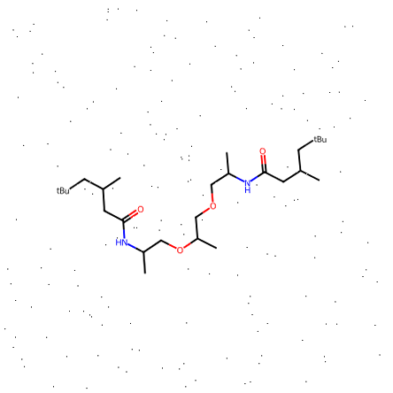 CC(CC(=O)NC(C)COCC(C)OCC(C)NC(=O)CC(C)CC(C)(C)C)CC(C)(C)C